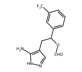 Nc1[nH]ncc1CC(OC=O)c1cccc(C(F)(F)F)c1